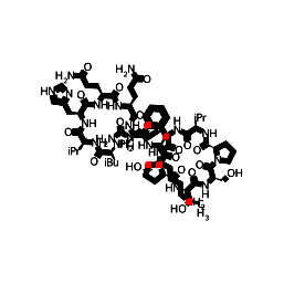 CC[C@H](C)[C@H](N)C(=O)N[C@H](C(=O)N[C@@H](Cc1c[nH]cn1)C(=O)N[C@@H](CCC(N)=O)C(=O)N[C@@H](CCC(N)=O)C(=O)N[C@H](C(=O)N[C@@H](Cc1ccccc1)C(=O)N1CCC[C@H]1C(=O)N[C@H](C(=O)N[C@@H](CO)C(=O)N1CCC[C@H]1C(=O)N[C@H](C(=O)N[C@@H](CCCNC(N)=O)C(=O)N[C@@H](CCCCN)C(=O)O)C(C)C)[C@@H](C)O)C(C)C)C(C)C